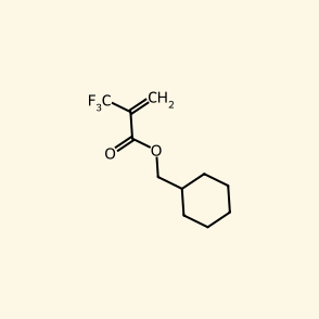 C=C(C(=O)OCC1CCCCC1)C(F)(F)F